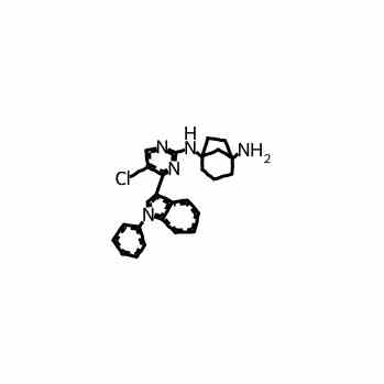 NC12CCCC(Nc3ncc(Cl)c(-c4cn(-c5ccccc5)c5ccccc45)n3)(CC1)C2